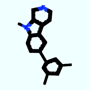 Cc1cc(C)cc(-c2ccc3c(c2)c2ccncc2n3C)c1